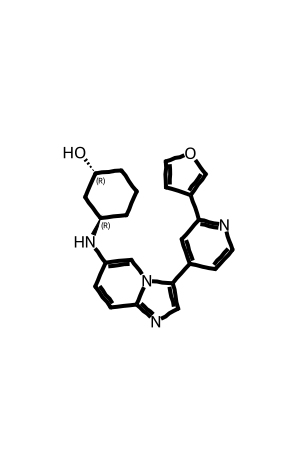 O[C@@H]1CCC[C@@H](Nc2ccc3ncc(-c4ccnc(-c5ccoc5)c4)n3c2)C1